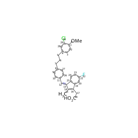 COc1ccc(CCCc2ccc(/C=C3/C(C)=C(CC(=O)O)c4cc(F)ccc43)cc2)cc1Cl